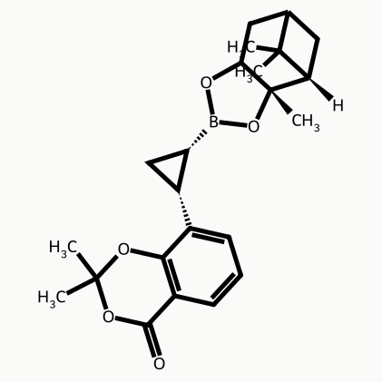 CC1(C)OC(=O)c2cccc([C@@H]3C[C@@H]3B3OC4CC5C[C@@H](C5(C)C)[C@]4(C)O3)c2O1